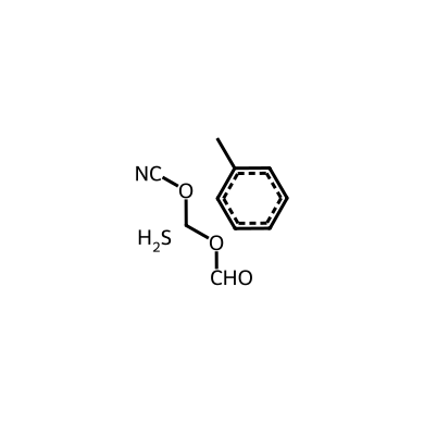 Cc1ccccc1.N#COCOC=O.S